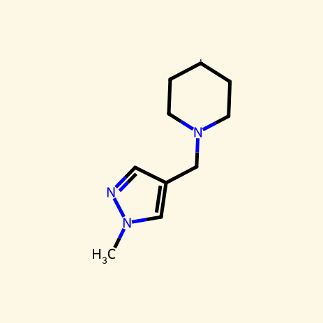 Cn1cc(CN2CC[CH]CC2)cn1